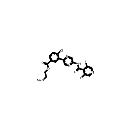 COCCOC(=O)c1ccc(Cl)c(-c2cnc(NC(=O)c3c(F)cncc3F)cn2)c1